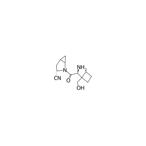 N#C[C@@H]1CC2CC2N1C(=O)[C@@H](N)C1(CO)CCC1